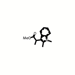 COC(=O)C(C)c1c(C)n(C)c2ccccc12